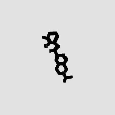 Cc1cccc(/C=C(\F)c2cc3c(cn2)CN(C(C)C)CC3)c1Cl